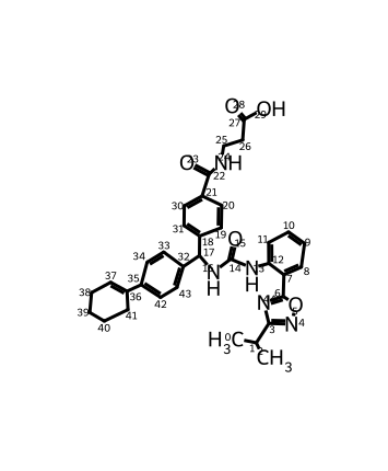 CC(C)c1noc(-c2ccccc2NC(=O)NC(c2ccc(C(=O)NCCC(=O)O)cc2)c2ccc(C3=CCCCC3)cc2)n1